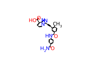 Cc1ccc(C(=O)Nc2ccc(C(N)=O)cc2)cc1C#Cc1nnc2c(C(=O)O)cccn12